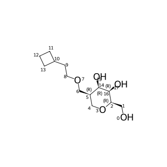 OC[C@H]1OC[C@@H](COCCC2CCC2)[C@@H](O)[C@H]1O